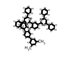 Cc1cc(C)cc(-c2ccc3c4ccccc4n(-c4ccc(-c5nc(-c6ccccc6)cc(-c6ccccc6)n5)cc4-c4nc(-c5ccccc5)cc(-c5ccccc5)n4)c3c2)c1